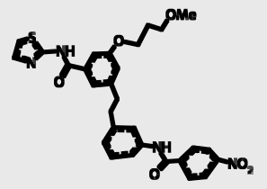 COCCCOc1cc(CCc2cccc(NC(=O)c3ccc([N+](=O)[O-])cc3)c2)cc(C(=O)Nc2nccs2)c1